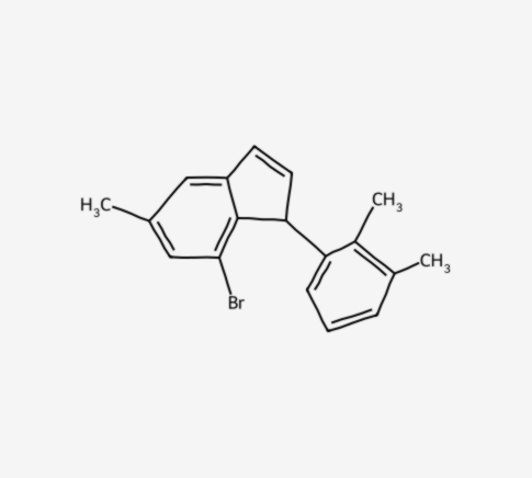 Cc1cc(Br)c2c(c1)C=CC2c1cccc(C)c1C